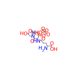 NC(CCC(=O)NC(CS)C(=O)NCC(=O)O)C(=O)O.O=S(O)S(=O)(=O)O